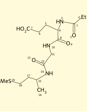 CCC(=O)NC(CCC(=O)O)C(=O)NCC(=O)NC(C)CCSC